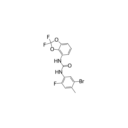 Cc1cc(F)c(NC(=O)Nc2cccc3c2OC(F)(F)O3)cc1Br